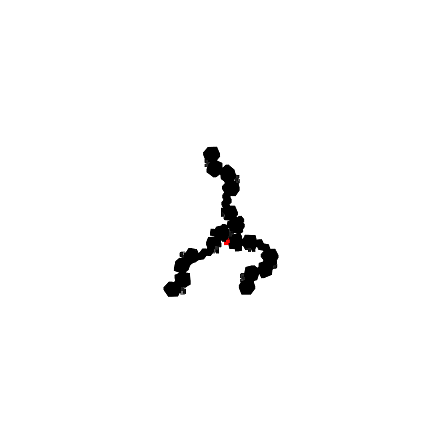 Cc1cc(C)c(-c2ccc(CCCc3ccc4sc5ccc(-c6ccc7sc8ccccc8c7c6)cc5c4c3)nc2)c(C)c1B(c1c(C)cc(C)c(-c2ccc(CCCc3ccc4sc5ccc(-c6ccc7sc8ccccc8c7c6)cc5c4c3)nc2)c1C)c1c(C)cc(C)c(-c2ccc(CCCc3ccc4sc5ccc(-c6ccc7sc8ccccc8c7c6)cc5c4c3)nc2)c1C